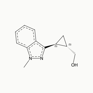 Cn1nc([C@H]2C[C@@H]2CO)c2ccccc21